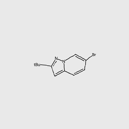 CC(C)(C)c1cc2ccc(Br)cn2n1